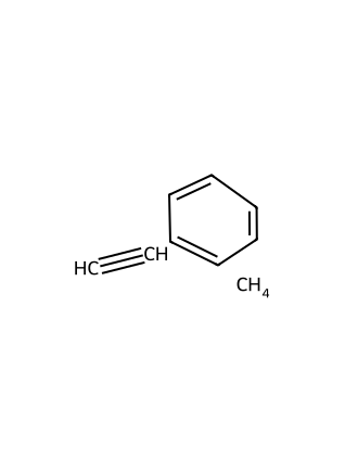 C.C#C.c1ccccc1